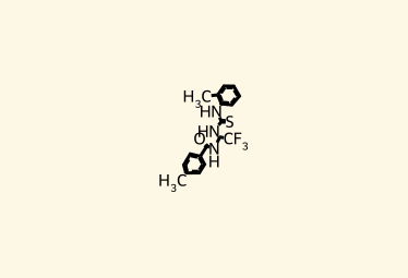 Cc1ccc(C(=O)NC(NC(=S)Nc2ccccc2C)C(F)(F)F)cc1